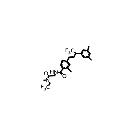 Cc1cc(C)cc(C(/C=C/c2ccc(C(=O)NCC(=O)N(C)CC(F)(F)F)c(C)c2)C(F)(F)F)c1